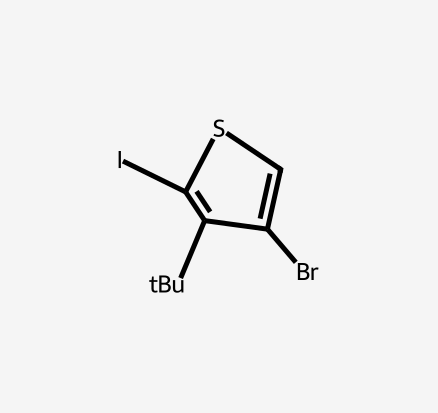 CC(C)(C)c1c(Br)csc1I